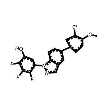 COc1ccc(-c2ccc3c(cnn3-c3cc(O)c(F)c(F)c3F)c2)cc1Cl